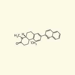 CN1C(=O)CC[C@]2(C)c3ccc(-c4ccc5ccccc5n4)cc3CC[C@@H]12